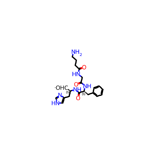 NCCCC(=O)NCC(=O)N[C@@H](Cc1ccccc1)C(=O)N[C@H]([C]=O)Cc1c[nH]cn1